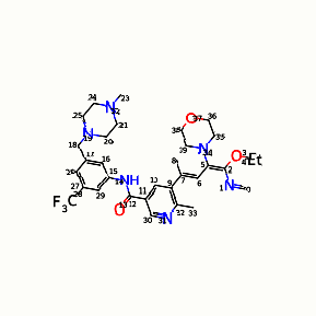 C=N/C(OCC)=C(\C=C(/C)c1cc(C(=O)Nc2cc(CN3CCN(C)CC3)cc(C(F)(F)F)c2)cnc1C)N1CCOCC1